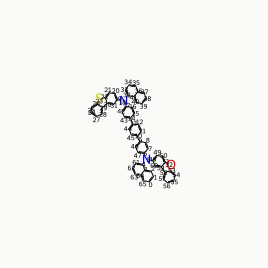 c1ccc2c(N(c3ccc(-c4ccc(-c5ccc(N(c6ccc7sc8ccccc8c7c6)c6cccc7ccccc67)cc5)cc4)cc3)c3ccc4oc5ccccc5c4c3)cccc2c1